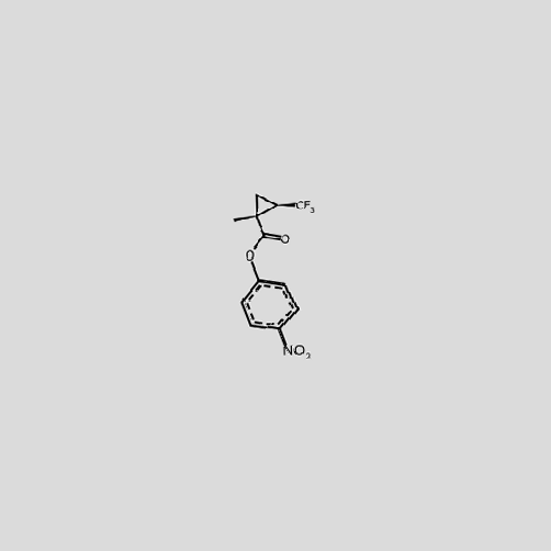 C[C@@]1(C(=O)Oc2ccc([N+](=O)[O-])cc2)C[C@H]1C(F)(F)F